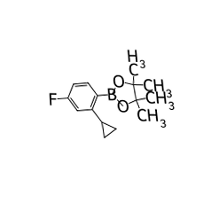 CC1(C)OB(c2ccc(F)cc2C2CC2)OC1(C)C